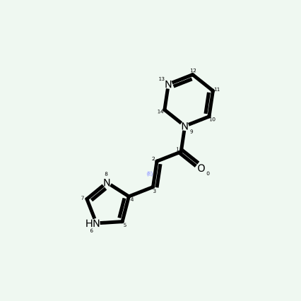 O=C(/C=C/c1c[nH]cn1)N1C=CC=NC1